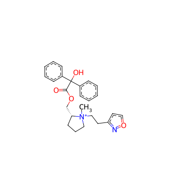 C[N+]1(CCc2ccon2)CCC[C@@H]1COC(=O)C(O)(c1ccccc1)c1ccccc1